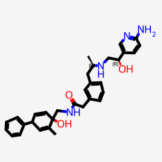 CC1=CC(c2ccccc2)C=CC1(O)CNC(=O)Cc1cccc(C[C@@H](C)NC[C@H](O)c2ccc(N)nc2)c1